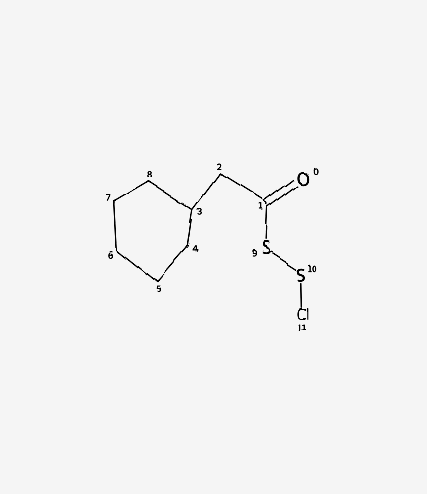 O=C(CC1CCCCC1)SSCl